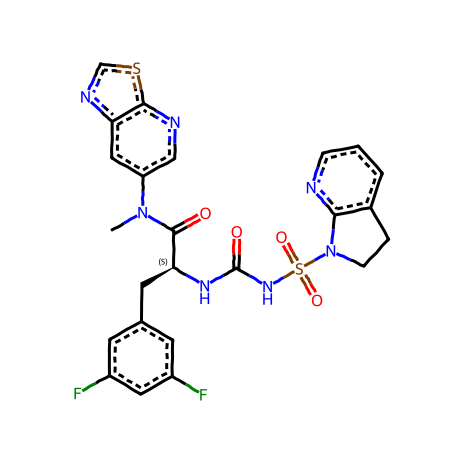 CN(C(=O)[C@H](Cc1cc(F)cc(F)c1)NC(=O)NS(=O)(=O)N1CCc2cccnc21)c1cnc2scnc2c1